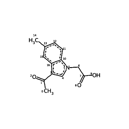 CC(=O)c1cn(CC(=O)O)c2ccc(C)cc12